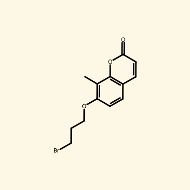 Cc1c(OCCCBr)ccc2ccc(=O)oc12